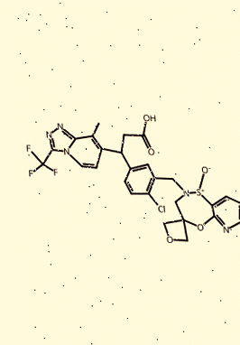 Cc1c(C(CC(=O)O)c2ccc(Cl)c(CN3CC4(COC4)Oc4ncccc4[S+]3[O-])c2)ccn2c(C(F)(F)F)nnc12